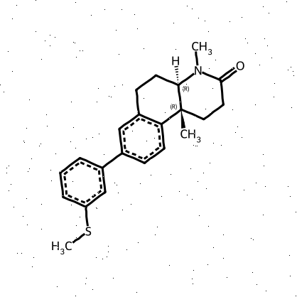 CSc1cccc(-c2ccc3c(c2)CC[C@H]2N(C)C(=O)CC[C@]32C)c1